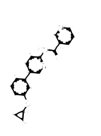 O=C(Nc1ccc(-c2cccc(OC3CC3)c2)cn1)c1cccnc1